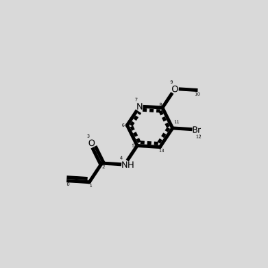 C=CC(=O)Nc1cnc(OC)c(Br)c1